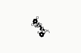 Cc1nc(C(=O)NS(=O)(=O)c2cc(Cl)ccc2Cl)cn1-c1c(F)cccc1F